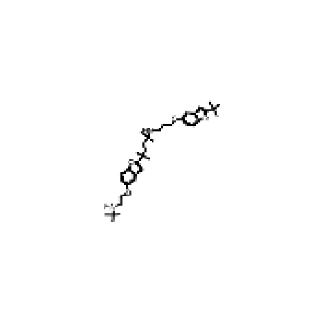 CC(C)(C)NCCOc1ccc2oc(C(C)(C)CCC(C)(C)NCCCOc3ccc4oc(C(C)(C)C)cc4c3)cc2c1